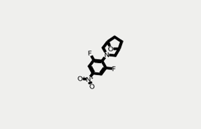 O=[N+]([O-])c1cc(F)c(N2CC3CCC(C2)O3)c(F)c1